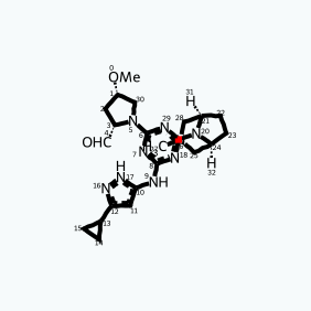 CO[C@H]1C[C@@H](C=O)N(c2nc(Nc3cc(C4CC4)n[nH]3)nc(N3[C@@H]4CC[C@H]3CN(C)C4)n2)C1